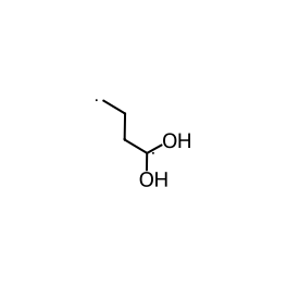 [CH2]CC[C](O)O